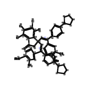 COc1ccc(/C(=C\C2(/C=C(/c3ccc(N4CCCC4)cc3)c3ccc(OC)c(C)c3)OC(=O)c3c(Cl)c(Cl)c(Cl)c(Cl)c32)c2ccc(N3CCCC3)cc2)cc1C